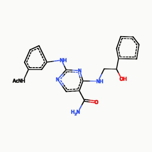 CC(=O)Nc1cccc(Nc2ncc(C(N)=O)c(NCC(O)c3ccccc3)n2)c1